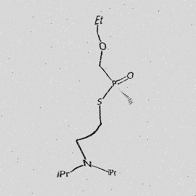 CCOC[P@@](C)(=O)SCCN(C(C)C)C(C)C